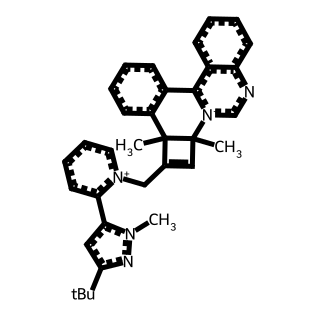 Cn1nc(C(C)(C)C)cc1-c1cccc[n+]1CC1=CC2(C)[n+]3cnc4ccccc4c3-c3ccccc3C12C